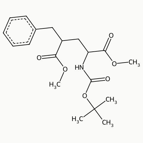 COC(=O)C(Cc1ccccc1)CC(NC(=O)OC(C)(C)C)C(=O)OC